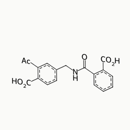 CC(=O)c1cc(CNC(=O)c2ccccc2C(=O)O)ccc1C(=O)O